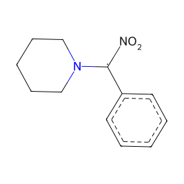 O=[N+]([O-])[C](c1ccccc1)N1CCCCC1